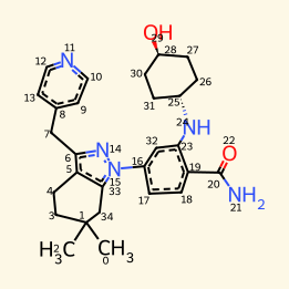 CC1(C)CCc2c(Cc3ccncc3)nn(-c3ccc(C(N)=O)c(N[C@H]4CC[C@H](O)CC4)c3)c2C1